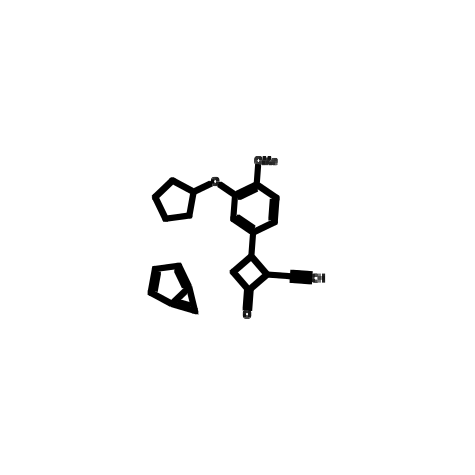 C#CC1C(=O)CC1c1ccc(OC)c(OC2CCCC2)c1.c1cc2cc-2c1